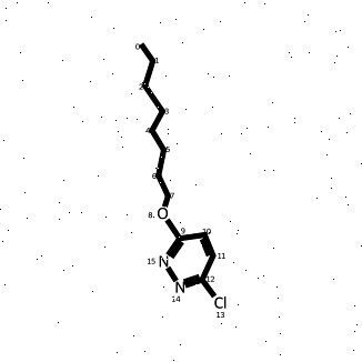 CCCCCCCCOc1ccc(Cl)nn1